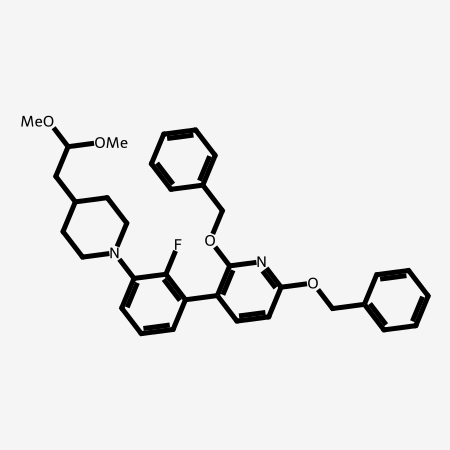 COC(CC1CCN(c2cccc(-c3ccc(OCc4ccccc4)nc3OCc3ccccc3)c2F)CC1)OC